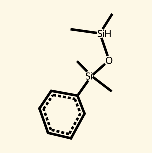 C[SiH](C)O[Si](C)(C)c1ccccc1